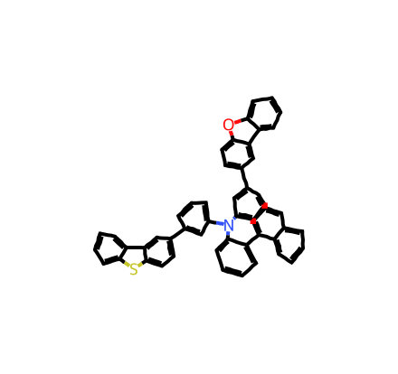 c1cc(-c2ccc3oc4ccccc4c3c2)cc(N(c2cccc(-c3ccc4sc5ccccc5c4c3)c2)c2ccccc2-c2cccc3ccccc23)c1